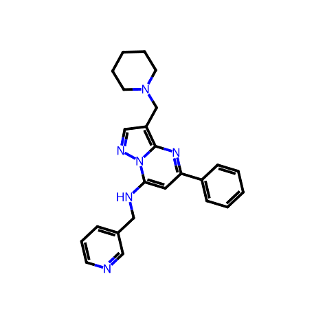 c1ccc(-c2cc(NCc3cccnc3)n3ncc(CN4CCCCC4)c3n2)cc1